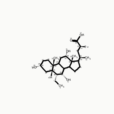 CC[C@H]1[C@@H](O)C2C3CCC([C@H](C)C[C@H](F)C(=O)O)[C@@]3(C)[C@@H](O)CC2[C@@]2(C)CC[C@@H](O)C[C@@H]12